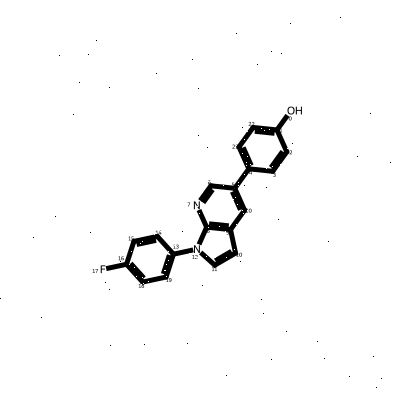 Oc1ccc(-c2cnc3c(ccn3-c3ccc(F)cc3)c2)cc1